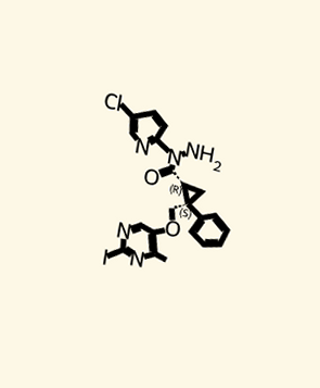 Cc1nc(I)ncc1OC[C@@]1(c2ccccc2)C[C@H]1C(=O)N(N)c1ccc(Cl)cn1